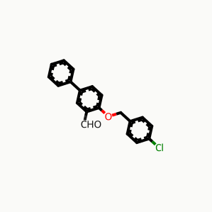 O=Cc1cc(-c2ccccc2)ccc1OCc1ccc(Cl)cc1